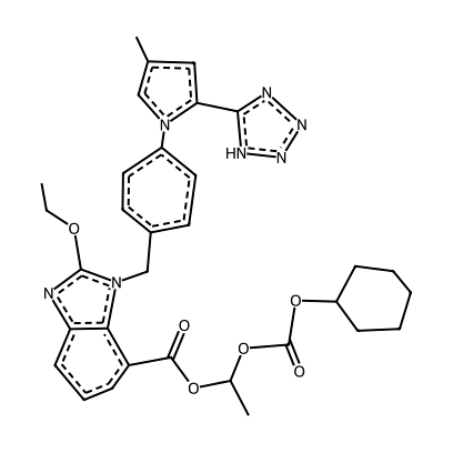 CCOc1nc2cccc(C(=O)OC(C)OC(=O)OC3CCCCC3)c2n1Cc1ccc(-n2cc(C)cc2-c2nnn[nH]2)cc1